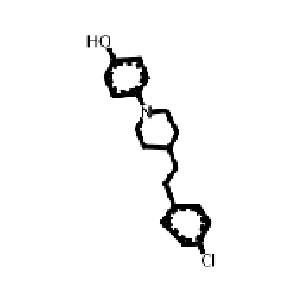 Oc1ccc(N2CCC(CCc3ccc(Cl)cc3)CC2)cc1